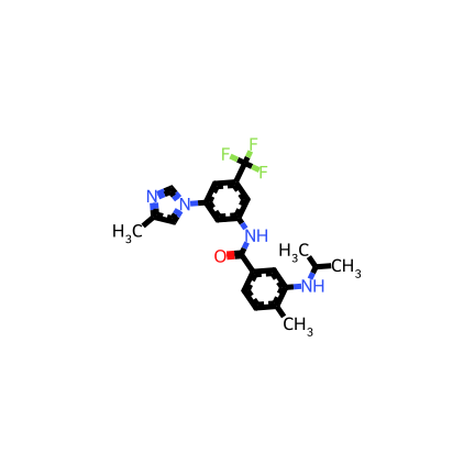 Cc1cn(-c2cc(NC(=O)c3ccc(C)c(NC(C)C)c3)cc(C(F)(F)F)c2)cn1